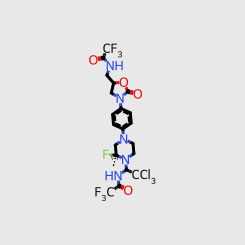 C[C@]1(F)CN(c2ccc(N3CC(CNC(=O)C(F)(F)F)OC3=O)cc2)CCN1C(NC(=O)C(F)(F)F)C(Cl)(Cl)Cl